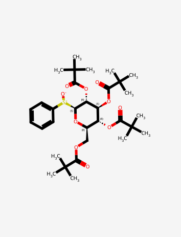 CC(C)(C)C(=O)OC[C@H]1O[C@@H]([S+]([O-])c2ccccc2)[C@H](OC(=O)C(C)(C)C)[C@@H](OC(=O)C(C)(C)C)[C@@H]1OC(=O)C(C)(C)C